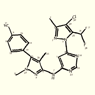 Cc1nn(-c2cc(Nc3nn(C)c(-c4ccc(C#N)cc4)c3C)ncn2)c(C(F)F)c1Cl